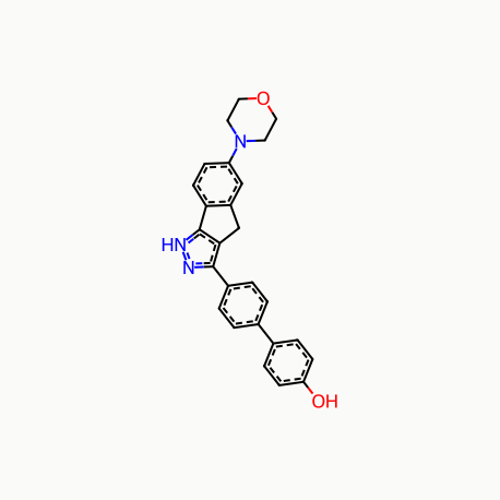 Oc1ccc(-c2ccc(-c3n[nH]c4c3Cc3cc(N5CCOCC5)ccc3-4)cc2)cc1